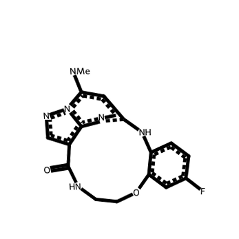 CNc1cc2nc3c(cnn13)C(=O)NCCOc1cc(F)ccc1N2